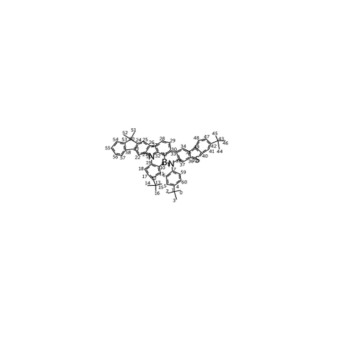 CC(C)(C)c1ccc(N2B3c4cc(C(C)(C)C)ccc4-n4c5cc6c(cc5c5ccc(c3c54)-c3cc4c(cc32)sc2cc(C(C)(C)C)ccc24)C(C)(C)c2ccccc2-6)cc1